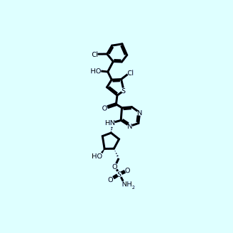 NS(=O)(=O)OC[C@H]1C[C@@H](Nc2ncncc2C(=O)c2cc(C(O)c3ccccc3Cl)c(Cl)s2)C[C@@H]1O